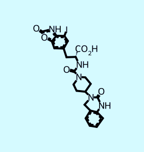 O=C(O)[C@@H](Cc1cc(I)c2[nH]c(=O)oc2c1)NC(=O)N1CCC(N2Cc3ccccc3NC2=O)CC1